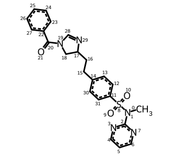 CN(c1ncccn1)S(=O)(=O)c1ccc(CCC2CN(C(=O)c3ccccc3)C=N2)cc1